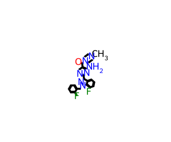 CN1CCN(C(=O)c2cnc(-c3nn(Cc4ccccc4F)c4c(F)cccc34)nc2N)CC1